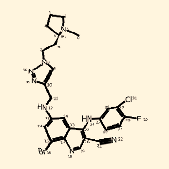 CN1CCC[C@@H]1CCn1cc(CNc2cc(Br)c3ncc(C#N)c(Nc4ccc(F)c(Cl)c4)c3c2)nn1